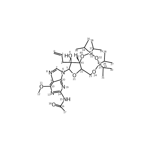 C=CC[C@@]1(O)C(n2cnc3c(OC)nc(NC(C)=O)nc32)OC2CO[Si](C(C)C)(C(C)C)O[Si](C(C)C)(C(C)C)O[C@H]21